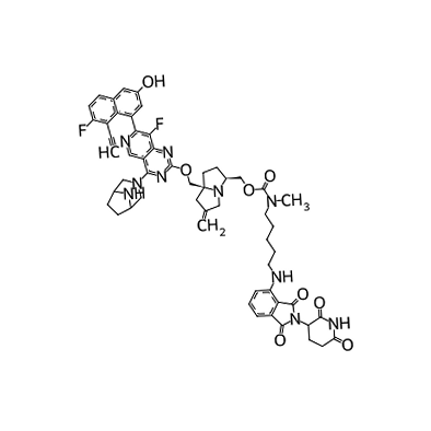 C#Cc1c(F)ccc2cc(O)cc(-c3ncc4c(N5CC6CCC(C5)N6)nc(OC[C@@]56CC[C@@H](COC(=O)N(C)CCCCCNc7cccc8c7C(=O)N(C7CCC(=O)NC7=O)C8=O)N5CC(=C)C6)nc4c3F)c12